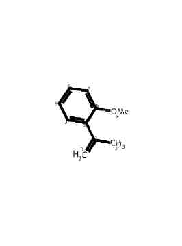 C=C(C)c1ccccc1OC